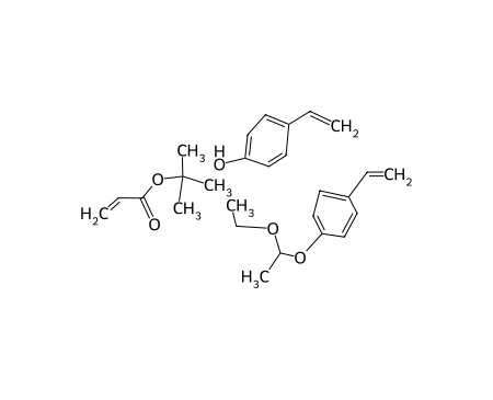 C=CC(=O)OC(C)(C)C.C=Cc1ccc(O)cc1.C=Cc1ccc(OC(C)OCC)cc1